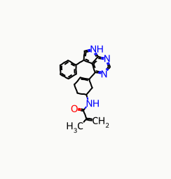 C=C(C)C(=O)NC1CCC=C(c2ncnc3[nH]cc(-c4ccccc4)c23)C1